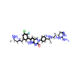 C[C@H](N)CCCc1cc(Cl)c(F)c(-c2cc3cn(-c4ccc([C@H](C)NCC[C@H](CC#N)NC(=N)N)cc4)c(=O)nc3[nH]2)c1